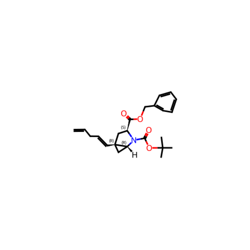 C=CCC=C[C@@]12C[C@@H](C(=O)OCc3ccccc3)N(C(=O)OC(C)(C)C)[C@@H]1C2